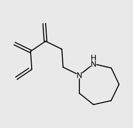 C=CC(=C)C(=C)CCN1CCCCCN1